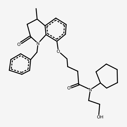 CC1CC(=O)N(Cc2ccccc2)c2c(OCCCC(=O)N(CCO)C3CCCCC3)cccc21